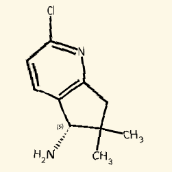 CC1(C)Cc2nc(Cl)ccc2[C@H]1N